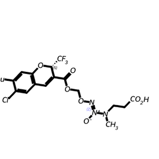 CN(CCC(=O)O)/[N+]([O-])=N/OCOC(=O)C1=Cc2cc(Cl)c(C(C)(C)C)cc2O[C@@H]1C(F)(F)F